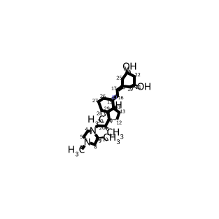 C[C@H](CN1CCN(C)C[C@@H]1C)[C@H]1CC[C@H]2/C(=C/C=C3C[C@@H](O)C[C@H](O)C3)CCC[C@]12C